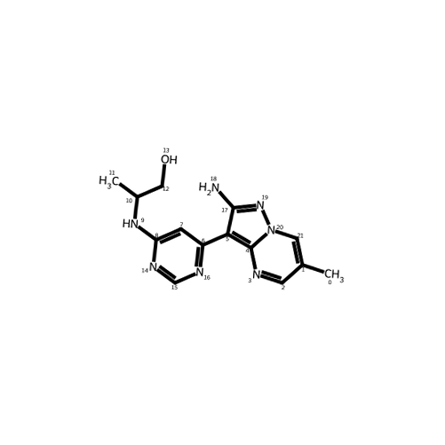 Cc1cnc2c(-c3cc(NC(C)CO)ncn3)c(N)nn2c1